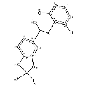 OC(Cc1c(Cl)cncc1Cl)c1ccc2c(c1)OC(F)(F)O2